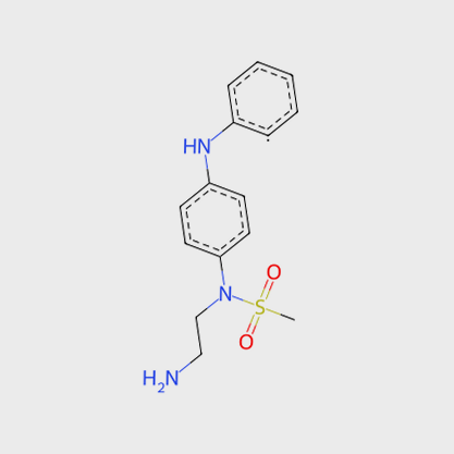 CS(=O)(=O)N(CCN)c1ccc(Nc2[c]cccc2)cc1